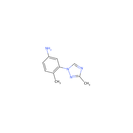 Cc1ncn(-c2cc(N)ccc2C)n1